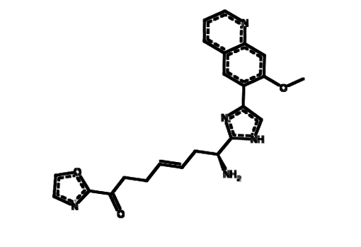 COc1cc2ncccc2cc1-c1c[nH]c([C@@H](N)CC=CCCC(=O)c2ncco2)n1